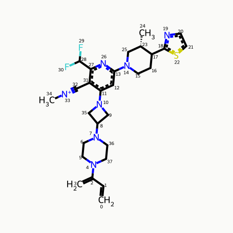 C=CC(=C)N1CCN(C2CN(c3cc(N4CCC(c5nccs5)[C@@H](C)C4)nc(C(F)F)c3C#[N+]C)C2)CC1